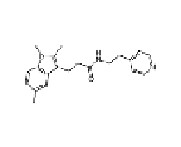 Cc1ccc2c(c1)c(CCC(=O)NCCc1ccncc1)c(C)n2C